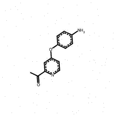 CC(=O)c1cc(Oc2ccc(N)cc2)ccn1